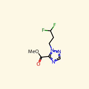 COC(=O)c1ncnn1CCC(F)F